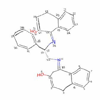 OC1=CCc2ccccc2C1=NC[C@@H](N=C1C(O)=CCc2ccccc21)c1ccccc1